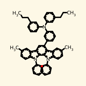 CCCc1cccc(N(c2cccc(CCC)c2)c2cccc(-c3cc4c5cc(C)ccc5n(-c5ccccc5)c4c4c3c3cc(C)ccc3n4-c3ccccc3)c2)c1